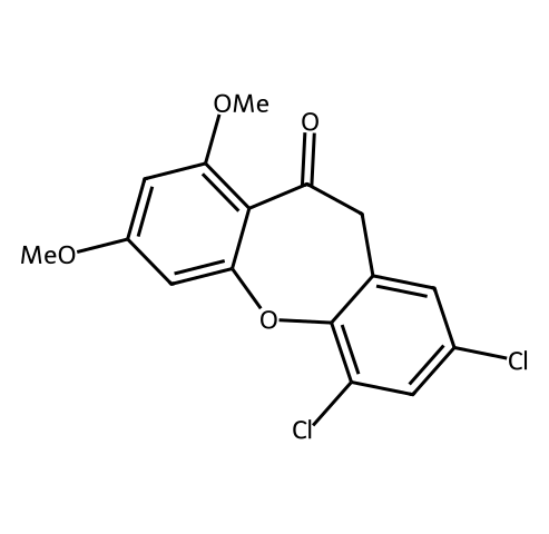 COc1cc(OC)c2c(c1)Oc1c(Cl)cc(Cl)cc1CC2=O